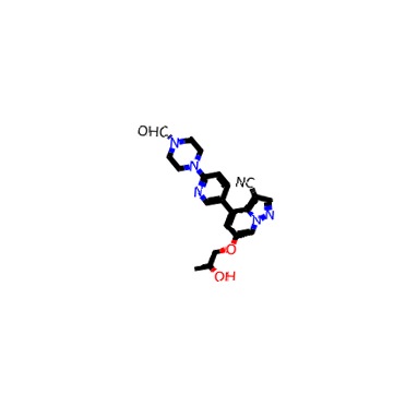 CC(O)COc1cc(-c2ccc(N3CCN(C=O)CC3)nc2)c2c(C#N)cnn2c1